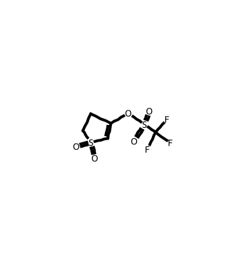 O=S1(=O)C=C(OS(=O)(=O)C(F)(F)F)CC1